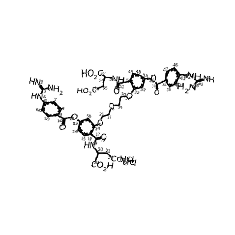 Cl.Cl.N=C(N)Nc1ccc(C(=O)Oc2ccc(C(=O)NC(CC(=O)O)C(=O)O)c(OCCOCCOc3cc(OC(=O)c4ccc(NC(=N)N)cc4)ccc3C(=O)NC(CC(=O)O)C(=O)O)c2)cc1